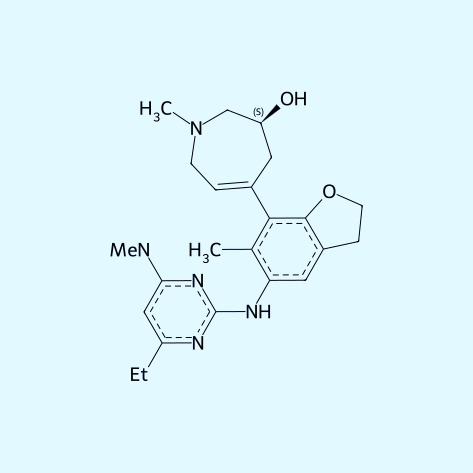 CCc1cc(NC)nc(Nc2cc3c(c(C4=CCN(C)C[C@@H](O)C4)c2C)OCC3)n1